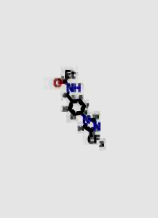 CCC(=O)NCc1ccc(-n2cnc(C(F)(F)F)c2)cc1